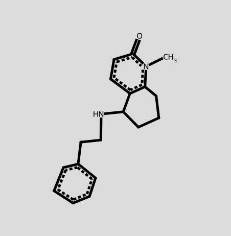 Cn1c2c(ccc1=O)C(NCCc1ccccc1)CCC2